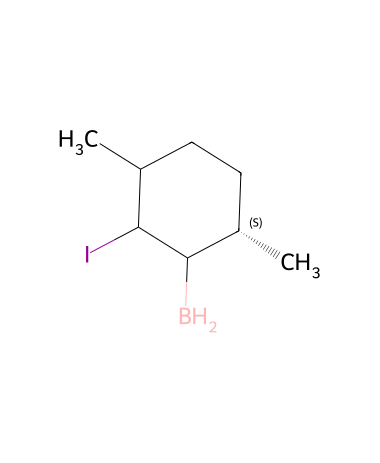 BC1C(I)C(C)CC[C@@H]1C